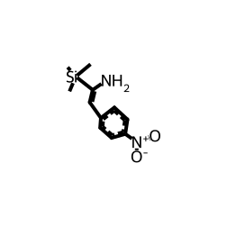 C[Si](C)(C)/C(N)=C/c1ccc([N+](=O)[O-])cc1